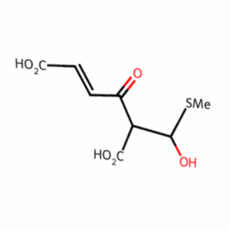 CSC(O)C(C(=O)O)C(=O)C=CC(=O)O